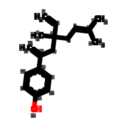 C=CC(C)(CC=C(C)C)CC(=C)c1ccc(O)cc1